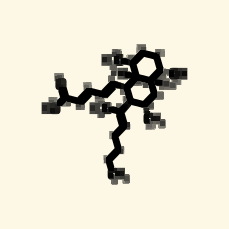 CCCC/C=C(\C)[C@H]1[C@@H](/C=C/C=C/C(=O)O)[C@H]2[C@@H](C[C@@H]1C)[C@@H](O)CC[C@@H]2C